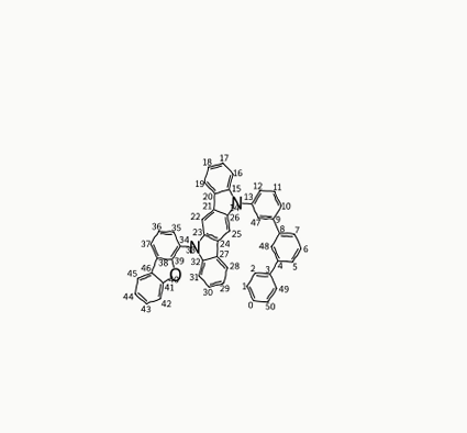 c1ccc(-c2cccc(-c3cccc(-n4c5ccccc5c5cc6c(cc54)c4ccccc4n6-c4cccc5c4oc4ccccc45)c3)c2)cc1